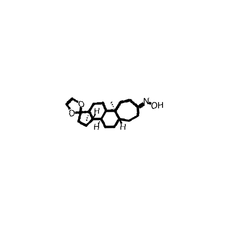 C[C@]12CCC3[C@@H](CC[C@H]4CCC(=NO)CC[C@]34C)[C@@H]1CCC21OCCO1